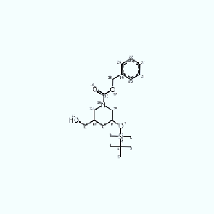 CC(C)(C)[Si](C)(C)OC1CC(CO)CN(C(=O)OCc2ccccc2)C1